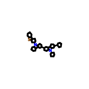 c1ccc(-c2ccc3c4cc(-c5ccc6c(c5)c5ccccc5n6-c5ccc6c(c5)sc5ccccc56)ccc4n(-c4ccccc4)c3c2)cc1